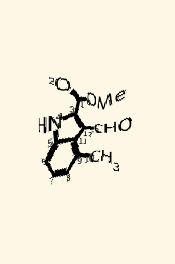 COC(=O)c1[nH]c2cccc(C)c2c1C=O